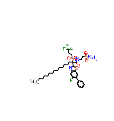 CCCCCCCCCCCCCCC(C(=O)NCCS(N)(=O)=O)(c1nc2cc(F)c(-c3ccccc3)cc2s1)S(=O)(=O)CCC(F)(F)F